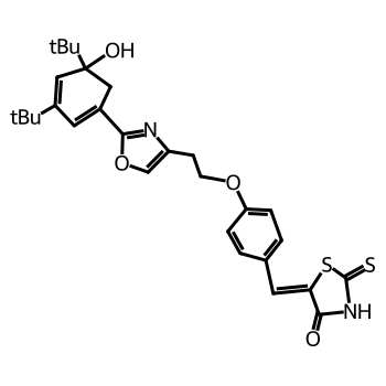 CC(C)(C)C1=CC(O)(C(C)(C)C)CC(c2nc(CCOc3ccc(/C=C4\SC(=S)NC4=O)cc3)co2)=C1